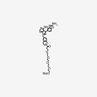 COCCOCCOCCOCCOCCC(=O)N1CCc2cc(Cn3nc(-c4ccc5oc(N)nc5c4)c4c(N)ncnc43)ccc2C1